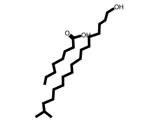 CC(C)CCCCCCCCCCCCCCCO.CCCCCCCC(=O)O